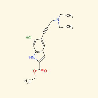 CCOC(=O)c1cc2cc(C#CCN(CC)CC)ccc2[nH]1.Cl